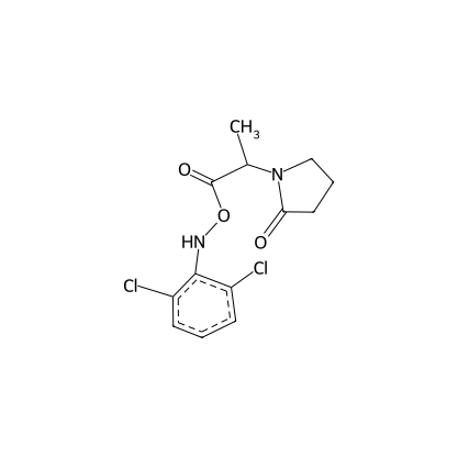 CC(C(=O)ONc1c(Cl)cccc1Cl)N1CCCC1=O